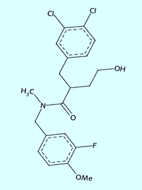 COc1ccc(CN(C)C(=O)C(CCO)Cc2ccc(Cl)c(Cl)c2)cc1F